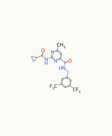 Cc1cc(C(=O)NCc2cc(C(F)(F)F)cc(C(F)(F)F)c2)nc(NC(=O)C2CC2)n1